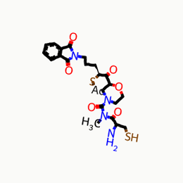 CC(=O)S[C@@H](CCCN1C(=O)c2ccccc2C1=O)C(=O)C1CN(C(=O)N(C)C(=O)C(N)CS)CCO1